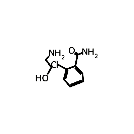 NC(=O)c1ccccc1Cl.NCCO